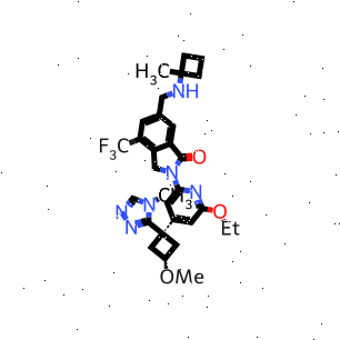 CCOc1cc([C@]2(c3nncn3C)C[C@@H](OC)C2)cc(N2Cc3c(cc(CNC4(C)CCC4)cc3C(F)(F)F)C2=O)n1